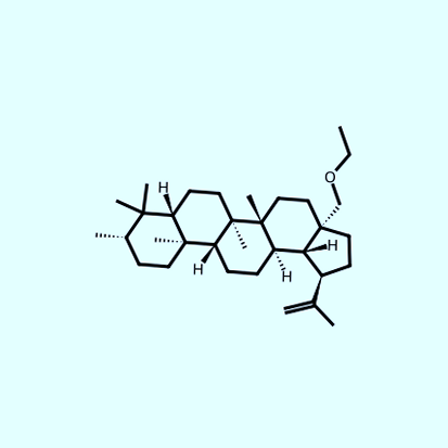 C=C(C)[C@@H]1CC[C@]2(COCC)CC[C@]3(C)[C@H](CC[C@@H]4[C@@]5(C)CC[C@H](C)C(C)(C)[C@@H]5CC[C@]43C)[C@@H]12